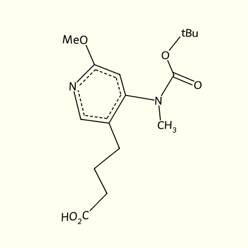 COc1cc(N(C)C(=O)OC(C)(C)C)c(CCCC(=O)O)cn1